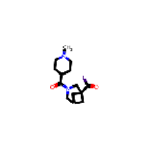 CN1CCC(C(=O)N2CC3CC(C(=O)I)(C3)C2)CC1